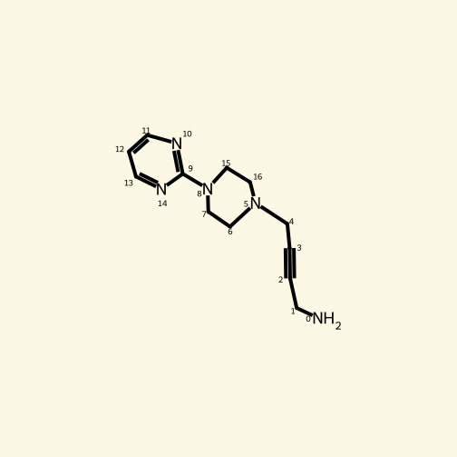 NCC#CCN1CCN(c2ncccn2)CC1